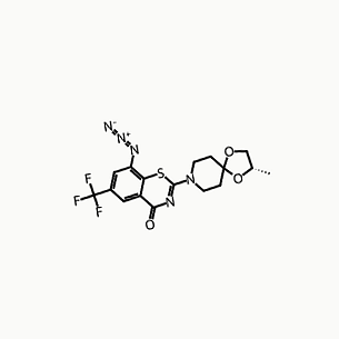 C[C@H]1COC2(CCN(c3nc(=O)c4cc(C(F)(F)F)cc(N=[N+]=[N-])c4s3)CC2)O1